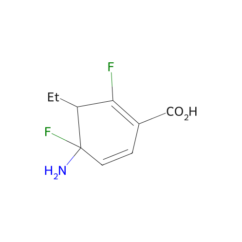 CCC1C(F)=C(C(=O)O)C=CC1(N)F